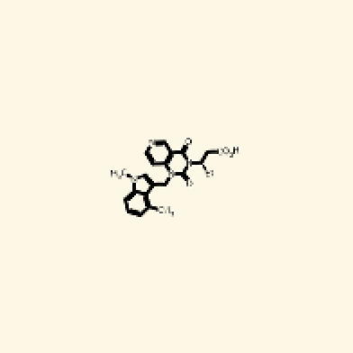 CC[C@H](CC(=O)O)n1c(=O)c2cnccc2n(Cc2cn(C)c3cccc(C)c23)c1=O